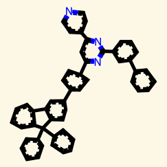 c1ccc(-c2cccc(-c3nc(-c4ccncc4)cc(-c4ccc(-c5ccc6c(c5)-c5ccccc5C6(c5ccccc5)c5ccccc5)cc4)n3)c2)cc1